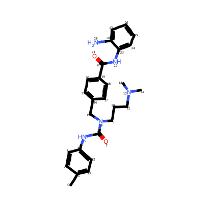 Cc1ccc(NC(=O)N(CCCN(C)C)Cc2ccc(C(=O)Nc3ccccc3N)cc2)cc1